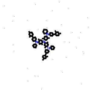 Cc1ccc(-c2ccc(N(c3ccccc3)c3cc(C)c(N(c4cc(C)c(N(c5ccccc5)c5ccc(-c6ccc(C)cc6C)cc5)cc4C)c4cc(C)c(N(c5ccccc5)c5ccc(-c6ccc(C)cc6C)cc5)cc4C)cc3C)cc2)c(C)c1